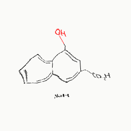 O=C(O)c1cc(O)c2ccccc2c1.[NaH]